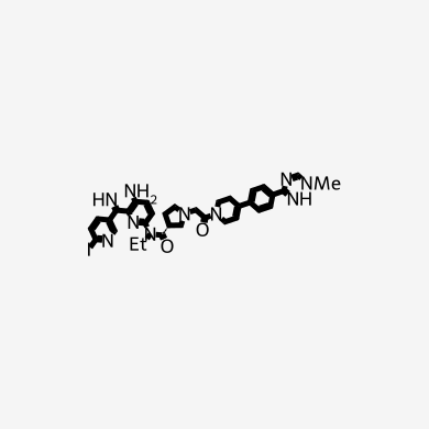 CCN(C(=O)[C@@H]1CCN(CC(=O)N2CC=C(c3ccc(C(=N)/N=C\NC)cc3)CC2)C1)c1ccc(N)c(C(=N)c2ccc(I)nc2)n1